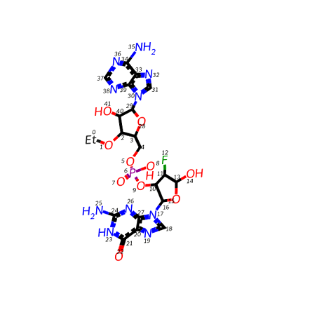 CCOC1C(COP(=O)(O)OC2C(F)C(O)OC2n2cnc3c(=O)[nH]c(N)nc32)OC(n2cnc3c(N)ncnc32)C1O